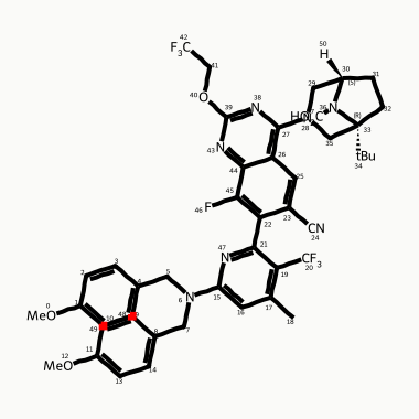 COc1ccc(CN(Cc2ccc(OC)cc2)c2cc(C)c(C(F)(F)F)c(-c3c(C#N)cc4c(N5C[C@@H]6CC[C@@](C(C)(C)C)(C5)N6C(=O)O)nc(OCC(F)(F)F)nc4c3F)n2)cc1